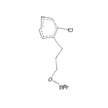 [CH2]CCOCCCc1ccccc1Cl